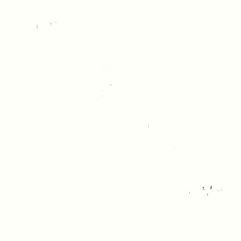 CCCCCCCCCCCCCCOC(=O)CCCOCCOCCOC